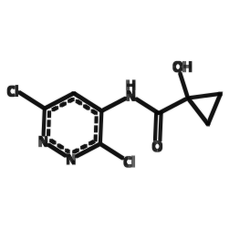 O=C(Nc1cc(Cl)nnc1Cl)C1(O)CC1